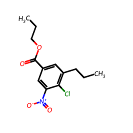 CCCOC(=O)c1cc(CCC)c(Cl)c([N+](=O)[O-])c1